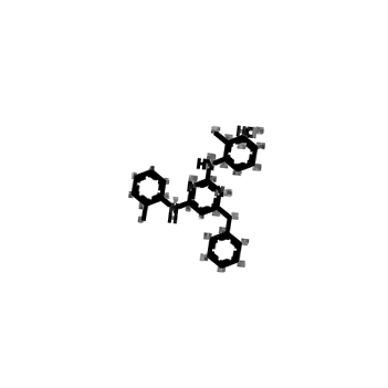 Cc1ccccc1Nc1cc(Cc2ccccc2)nc(Nc2ccccc2C)n1.Cl